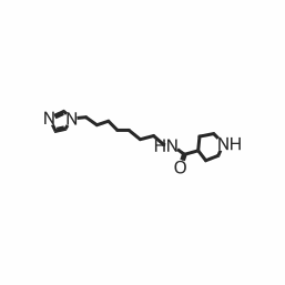 O=C(NCCCCCCCCn1ccnc1)C1CCNCC1